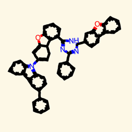 C1=C2Oc3cccc(C4=NC(c5ccccc5)=NC(c5ccc6c(c5)oc5ccccc56)N4)c3C2CC=C1n1c2ccccc2c2cc(-c3ccccc3)ccc21